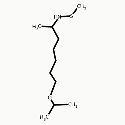 CSNC(C)CCCCCOC(C)C